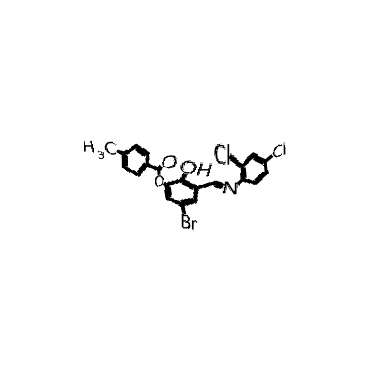 Cc1ccc(C(=O)Oc2cc(Br)cc(C=Nc3ccc(Cl)cc3Cl)c2O)cc1